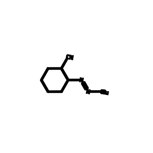 CC(C)(C)/N=N/C1CCCCC1C#N